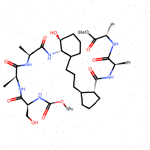 COC(=O)[C@@H](NC(=O)[C@H](NC(=O)[C@@H]1CCCC1CCCC1CCC[C@H](O)[C@H]1NC(=O)[C@H](C)NC(=O)[C@H](C)NC(=O)[C@H](CO)NC(=O)OC(C)(C)C)C(C)C)C(C)C